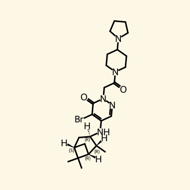 C[C@@H]1[C@H]2C[C@@H](C[C@H]1Nc1cnn(CC(=O)N3CCC(N4CCCC4)CC3)c(=O)c1Br)C2(C)C